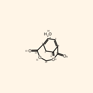 C=C1CC2=CC=C1C(=O)OCOC2=O.O